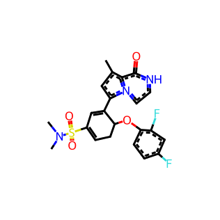 Cc1cc(C2=CC(S(=O)(=O)N(C)C)=CCC2Oc2ccc(F)cc2F)n2cc[nH]c(=O)c12